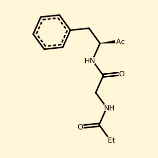 CCC(=O)NCC(=O)N[C@@H](Cc1ccccc1)C(C)=O